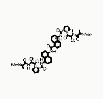 CCC(NC(=O)C(C)NC)C(=O)N1CCC[C@H]1C(=O)N[C@@H]1CCCc2c(NC(=O)c3cccc4c3CCC[C@H]4NC(=O)[C@@H]3CCCN3C(=O)C(CC)NC(=O)C(C)NC)cccc21